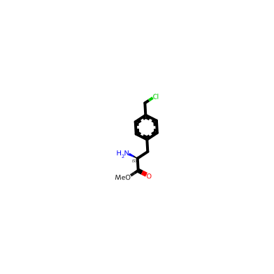 COC(=O)[C@@H](N)Cc1ccc(CCl)cc1